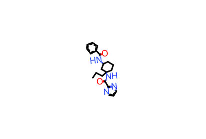 CCCC1(NC(=O)c2ncccn2)CCCC(NC(=O)c2ccccc2)C1